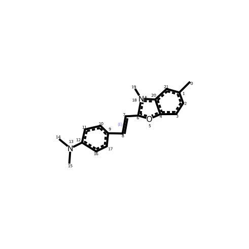 Cc1ccc2oc(/C=C/c3ccc(N(C)C)cc3)[n+](C)c2c1